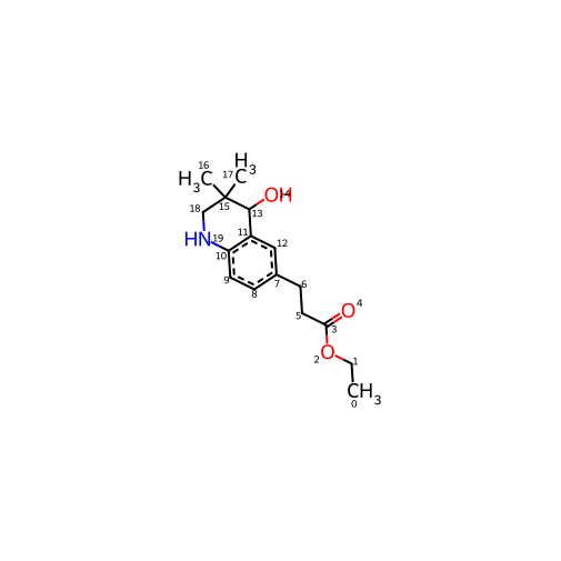 CCOC(=O)CCc1ccc2c(c1)C(O)C(C)(C)CN2